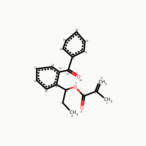 C=C(C)C(=O)OC(CC)c1ccccc1C(=O)c1ccccc1